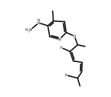 Cc1cc(OC(C)/C(F)=C\C=C/C(C)F)ncc1NN